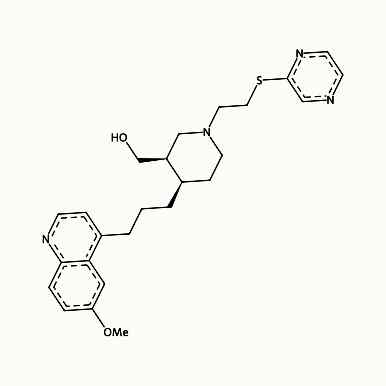 COc1ccc2nccc(CCC[C@@H]3CCN(CCSc4cnccn4)C[C@@H]3CO)c2c1